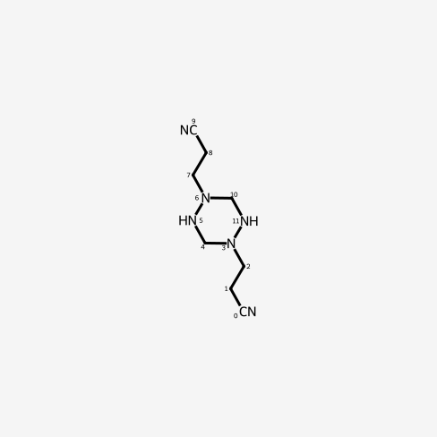 N#CCCN1CNN(CCC#N)CN1